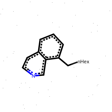 CCCCCCCc1cccc2ccncc12